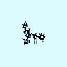 Cc1c(-c2ccn(C)n2)cn2nc(-c3nccn3C)nc(Nc3cc(-c4ccccc4)[nH]n3)c12